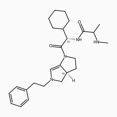 CNC(C)C(=O)N[C@H](C(=O)N1CC[C@H]2CN(CCc3ccccc3)C=C21)C1CCCCC1